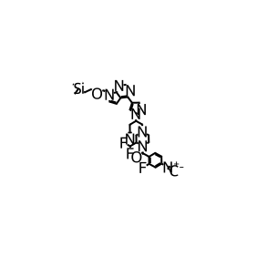 [C-]#[N+]c1ccc(C(=O)N2CCN(CC(CC#N)n3cc(-c4ncnc5c4ccn5COCC[Si](C)(C)C)cn3)CC2C(F)F)c(F)c1